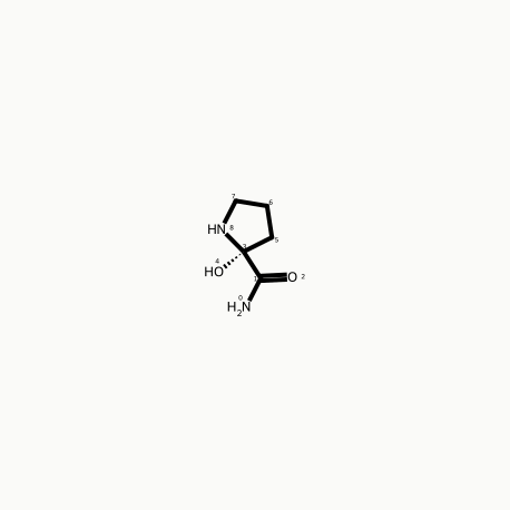 NC(=O)[C@]1(O)CCCN1